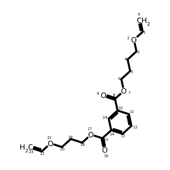 C=COCCCCOC(=O)c1cccc(C(=O)OCCCOC=C)c1